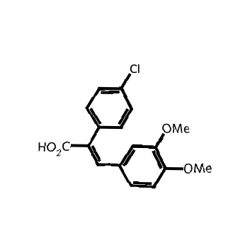 COc1ccc(C=C(C(=O)O)c2ccc(Cl)cc2)cc1OC